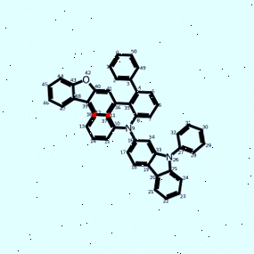 c1ccc(-c2cccc(N(c3ccccc3)c3ccc4c5ccccc5n(-c5ccccc5)c4c3)c2-c2ccc3c(c2)oc2ccccc23)cc1